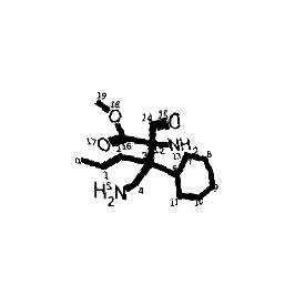 CCCC(CN)(C1CCCCC1)C(N)(C=O)C(=O)OC